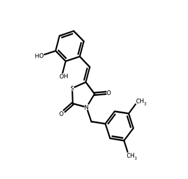 Cc1cc(C)cc(CN2C(=O)S/C(=C\c3cccc(O)c3O)C2=O)c1